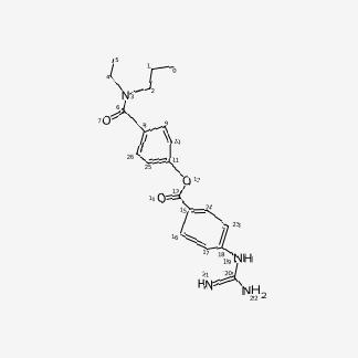 CCCN(CC)C(=O)c1ccc(OC(=O)c2ccc(NC(=N)N)cc2)cc1